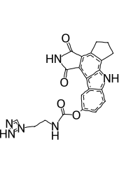 O=C(NCCn1cn[nH]1)Oc1ccc2[nH]c3c4c(c5c(c3c2c1)C(=O)NC5=O)CCC4